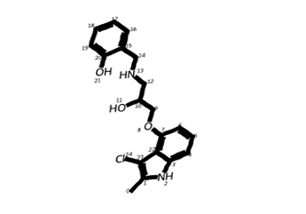 Cc1[nH]c2cccc(OCC(O)CNCc3ccccc3O)c2c1Cl